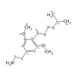 COc1cc(CCN)cc(OC)c1SCCCC(C)C